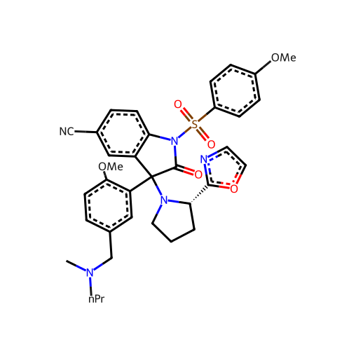 CCCN(C)Cc1ccc(OC)c(C2(N3CCC[C@H]3c3ncco3)C(=O)N(S(=O)(=O)c3ccc(OC)cc3)c3ccc(C#N)cc32)c1